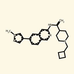 C=C(Nc1cc2cc(-c3cnn(C)c3)ccc2cn1)C1CCN(CC2CCC2)CC1